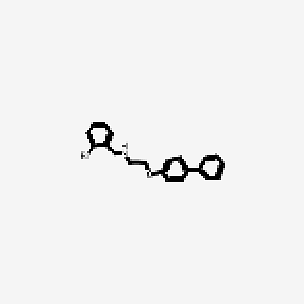 Brc1ccccc1CNCCOc1ccc(-c2ccccc2)cc1